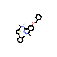 [CH2]c1ccccc1-c1ccc([C@@H](C)Nc2nnc(C)c3ccc(OCc4ccccc4)cc23)s1